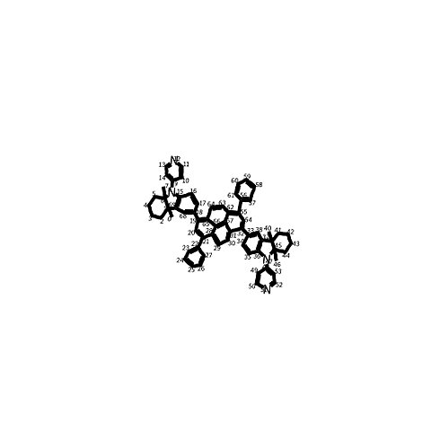 CC12CCCCC1(C)N(c1ccncc1)c1ccc(-c3cc(-c4ccccc4)c4ccc5c(-c6ccc7c(c6)C6(C)CCCCC6(C)N7c6ccncc6)cc(-c6ccccc6)c6ccc3c4c65)cc12